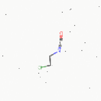 O=C=NC[CH]Cl